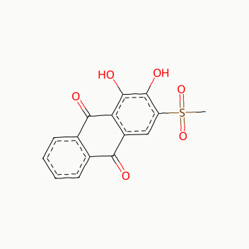 CS(=O)(=O)c1cc2c(c(O)c1O)C(=O)c1ccccc1C2=O